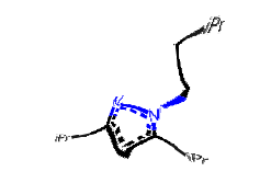 CC(C)[CH]Cn1nc(C(C)C)cc1C(C)C